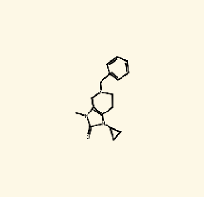 Cn1c2c(n(C3CC3)c1=O)CCN(Cc1ccccc1)C2